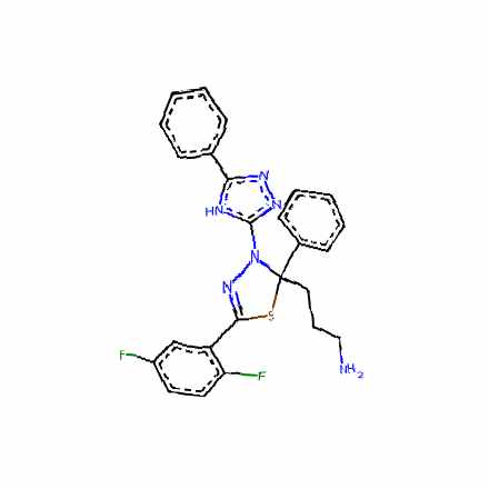 NCCCC1(c2ccccc2)SC(c2cc(F)ccc2F)=NN1c1nnc(-c2ccccc2)[nH]1